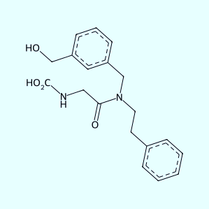 O=C(O)NCC(=O)N(CCc1ccccc1)Cc1cccc(CO)c1